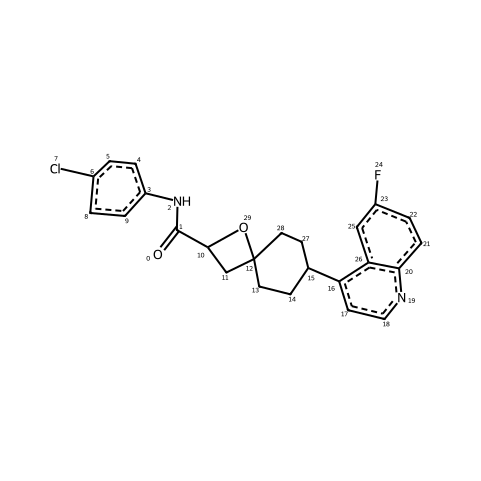 O=C(Nc1ccc(Cl)cc1)C1CC2(CCC(c3ccnc4ccc(F)cc34)CC2)O1